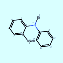 CCCCCCCCCc1ccccc1N(CC)c1ccccc1